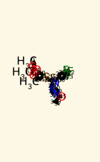 CCOC(=O)C(C)Oc1ccc(SCc2sc(-c3ccc(C(F)(F)F)cc3)nc2CN2CCN(C(=O)C3CC3)CC2)cc1C